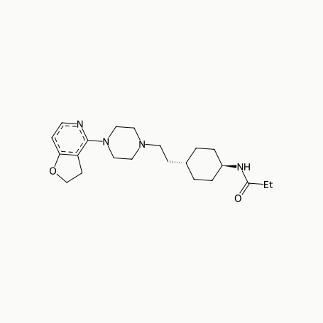 CCC(=O)N[C@H]1CC[C@H](CCN2CCN(c3nccc4c3CCO4)CC2)CC1